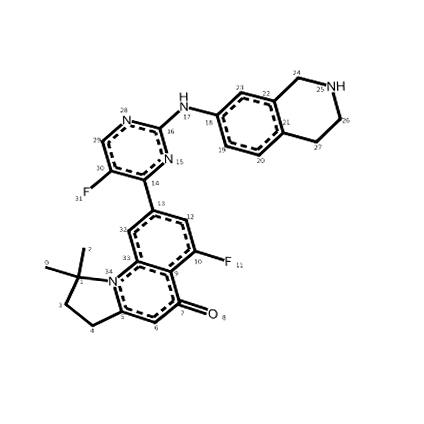 CC1(C)CCc2cc(=O)c3c(F)cc(-c4nc(Nc5ccc6c(c5)CNCC6)ncc4F)cc3n21